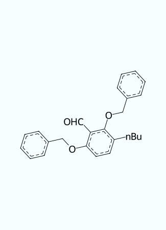 CCCCc1ccc(OCc2ccccc2)c(C=O)c1OCc1ccccc1